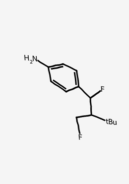 CC(C)(C)C(CF)C(F)c1ccc(N)cc1